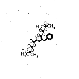 CC(C)(C)OC(=O)OC(=O)C(Cc1ccccc1)C[C@@H](N)C(=O)OC(=O)OC(C)(C)C